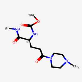 CC(C)NC(=O)[C@H](CCC(=O)N1CCN(C)CC1)NC(=O)OC(C)(C)C